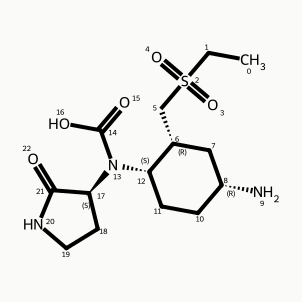 CCS(=O)(=O)C[C@@H]1C[C@H](N)CC[C@@H]1N(C(=O)O)[C@H]1CCNC1=O